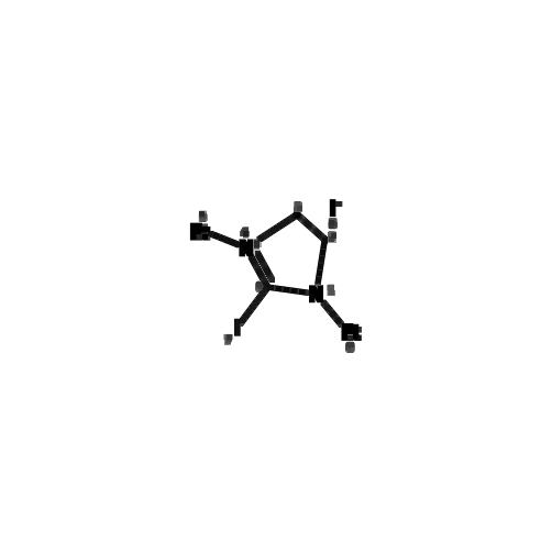 CCN1CC[N+](CC)=C1I.[I-]